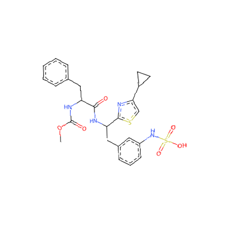 COC(=O)NC(Cc1ccccc1)C(=O)NC(Cc1cccc(NS(=O)(=O)O)c1)c1nc(C2CC2)cs1